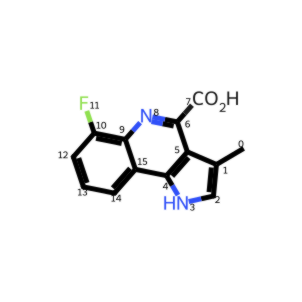 Cc1c[nH]c2c1c(C(=O)O)nc1c(F)cccc12